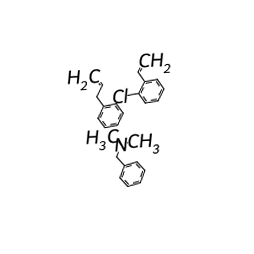 C=CCc1ccccc1.C=Cc1ccccc1Cl.CN(C)Cc1ccccc1